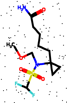 COCN(C1(CCCCC(N)=O)CC1)S(=O)(=O)C(F)F